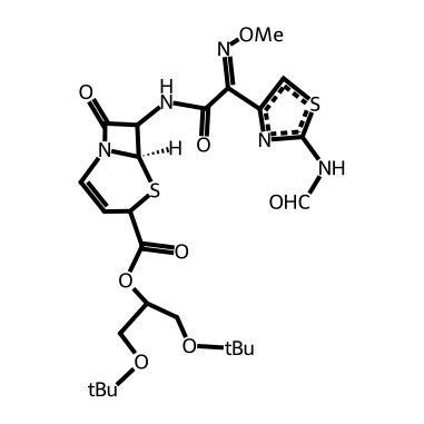 CON=C(C(=O)NC1C(=O)N2C=CC(C(=O)OC(COC(C)(C)C)COC(C)(C)C)S[C@H]12)c1csc(NC=O)n1